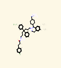 COc1cc2c(cc1OC)C(C1CCC(CN)CC1)N(CCCC(CCCNC(=O)CCc1ccc(F)cc1)(c1ccccc1)c1ccccc1)CC2.Cl.Cl